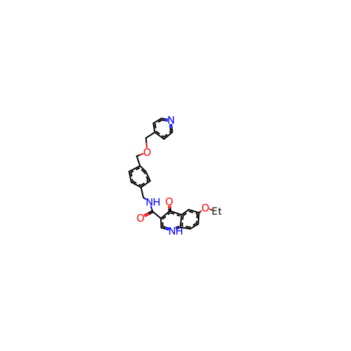 CCOc1ccc2[nH]cc(C(=O)NCc3ccc(COCc4ccncc4)cc3)c(=O)c2c1